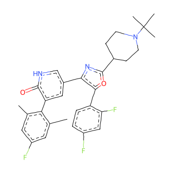 Cc1cc(F)cc(C)c1-c1cc(-c2nc(C3CCN(C(C)(C)C)CC3)oc2-c2ccc(F)cc2F)c[nH]c1=O